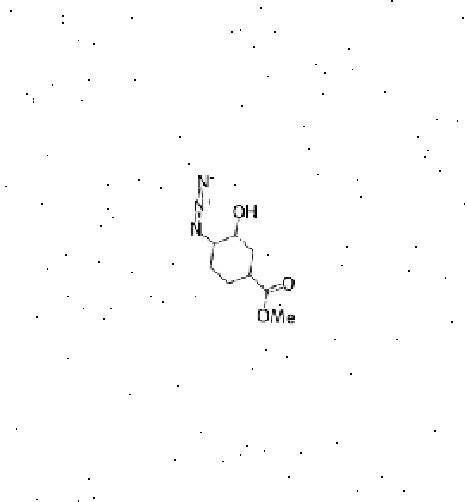 COC(=O)C1CCC(N=[N+]=[N-])C(O)C1